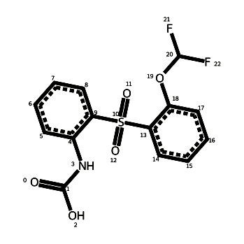 O=C(O)Nc1ccccc1S(=O)(=O)c1ccccc1OC(F)F